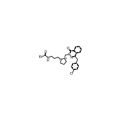 CCC(=O)NCCCN1CCC[C@@H]1Cn1nc(Cc2ccc(Cl)cc2)c2ccccc2c1=O